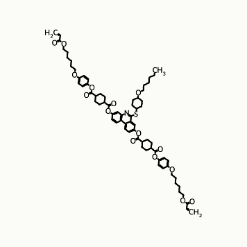 C=CC(=O)OCCCCCCOc1ccc(OC(=O)C2CCC(C(=O)Oc3ccc4c(c3)nc(SC3CCC(OCCCCCC)CC3)c3cc(OC(=O)C5CCC(C(=O)Oc6ccc(OCCCCCCOC(=O)C=C)cc6)CC5)ccc34)CC2)cc1